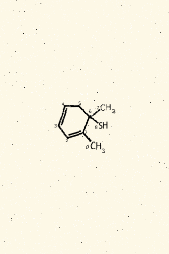 CC1=CC=CCC1(C)S